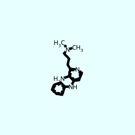 CN(C)CCCc1nccc(Nc2ccccc2)c1N